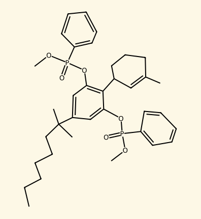 CCCCCCC(C)(C)c1cc(OP(=O)(OC)c2ccccc2)c(C2C=C(C)CCC2)c(OP(=O)(OC)c2ccccc2)c1